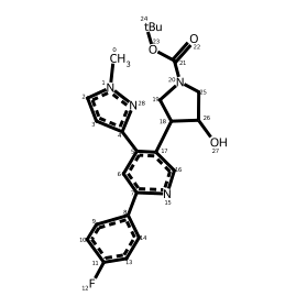 Cn1ccc(-c2cc(-c3ccc(F)cc3)ncc2C2CN(C(=O)OC(C)(C)C)CC2O)n1